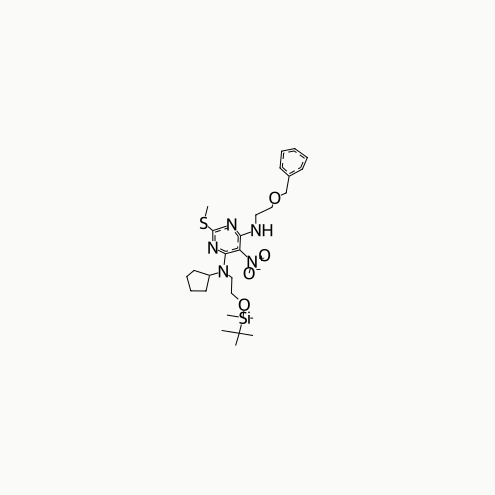 CSc1nc(NCCOCc2ccccc2)c([N+](=O)[O-])c(N(CCO[Si](C)(C)C(C)(C)C)C2CCCC2)n1